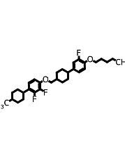 CCCCCOc1ccc(C2CCC(COc3ccc(C4CCC(C)CC4)c(F)c3F)CC2)cc1F